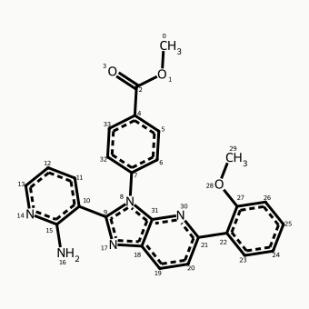 COC(=O)c1ccc(-n2c(-c3cccnc3N)nc3ccc(-c4ccccc4OC)nc32)cc1